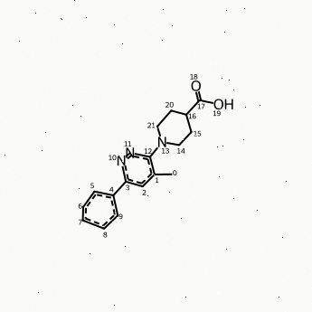 Cc1cc(-c2ccccc2)nnc1N1CCC(C(=O)O)CC1